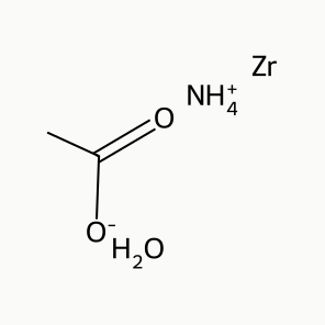 CC(=O)[O-].O.[NH4+].[Zr]